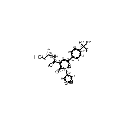 C[C@@H](CO)NC(=O)c1cc(-c2ccc(C(F)(F)F)cc2)nn(-c2cnsc2)c1=O